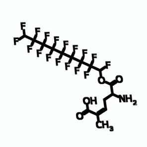 CC(=CCC(N)C(=O)OC(F)C(F)(F)C(F)(F)C(F)(F)C(F)(F)C(F)(F)C(F)(F)C(F)(F)C(F)F)C(=O)O